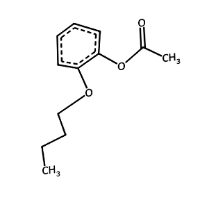 CCCCOc1ccccc1OC(C)=O